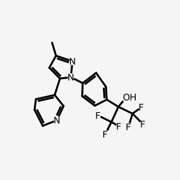 Cc1cc(-c2cccnc2)n(-c2ccc(C(O)(C(F)(F)F)C(F)(F)F)cc2)n1